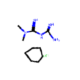 C1CCCCC1.CN(C)C(=N)NC(=N)N.Cl